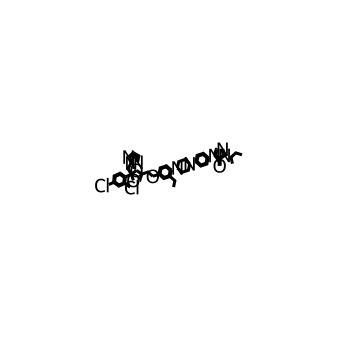 CCc1cc(OCC2COC(Cn3nccn3)(c3ccc(Cl)cc3Cl)O2)ccc1N1CCN(c2ccc(-n3cnn(C(C)CC)c3=O)cc2)CC1